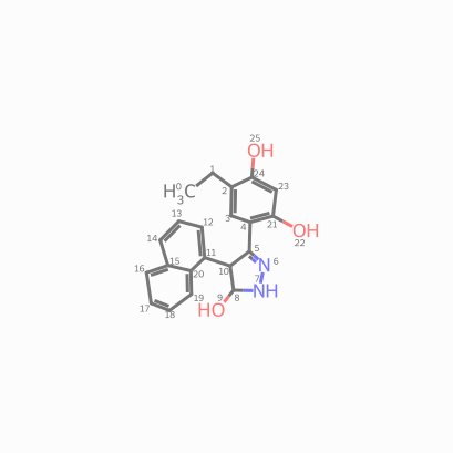 CCc1cc(C2=NNC(O)C2c2cccc3ccccc23)c(O)cc1O